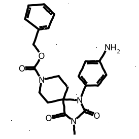 CN1C(=O)N(c2ccc(N)cc2)C2(CCN(C(=O)OCc3ccccc3)CC2)C1=O